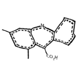 Cc1cc(C)c2c(C(=O)O)c3ccccc3nc2c1